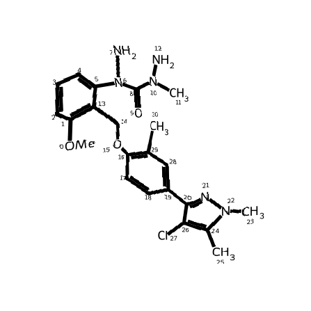 COc1cccc(N(N)C(=O)N(C)N)c1COc1ccc(-c2nn(C)c(C)c2Cl)cc1C